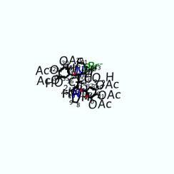 CC(=O)Oc1cc(C[N+]2(C)[C@@H]3CC[C@H]2CC(C(CC(=O)O)(C(=O)O)C2C[C@H]4CC[C@@H](C2)[N+]4(C)Cc2cc(OC(C)=O)c(OC(C)=O)c(OC(C)=O)c2)C3)cc(OC(C)=O)c1OC(C)=O.[Br-].[Br-]